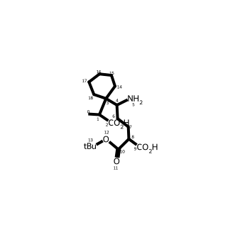 CC(C(=O)O)C1(C(N)CCC(C(=O)O)C(=O)OC(C)(C)C)CCCCC1